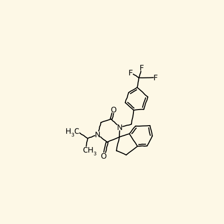 CC(C)N1CC(=O)N(Cc2ccc(C(F)(F)F)cc2)C2(CCc3ccccc32)C1=O